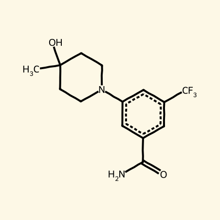 CC1(O)CCN(c2cc(C(N)=O)cc(C(F)(F)F)c2)CC1